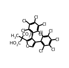 CC(C(=O)O)(C(=O)O)c1occ(-c2c(Cl)c(Cl)c(Cl)c(Cl)c2Cl)c1-c1c(Cl)c(Cl)c(Cl)c(Cl)c1Cl